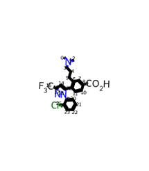 CN(C)CCCc1cc(C(=O)O)ccc1-c1cc(C(F)(F)F)nn1-c1ccccc1Cl